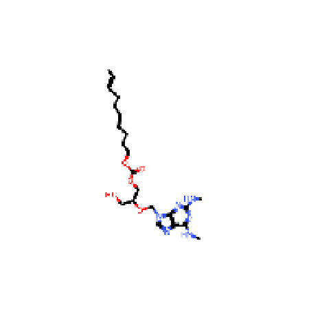 CC=CCCCCCCCOC(=O)OCC(CO)OCn1cnc2c(NC)nc(NC)nc21